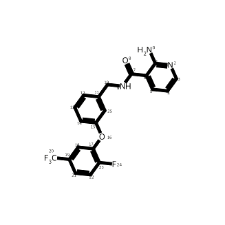 Nc1ncccc1C(=O)NCc1cccc(Oc2cc(C(F)(F)F)ccc2F)c1